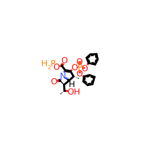 C[C@@H](O)[C@H]1C(=O)N2C(C(=O)OP)=C(OP(=O)(Oc3ccccc3)Oc3ccccc3)[C@H](C)[C@H]12